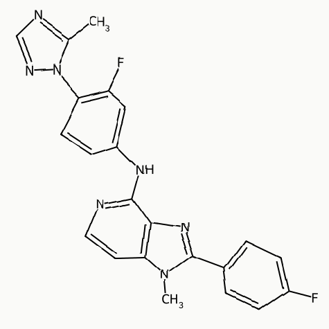 Cc1ncnn1-c1ccc(Nc2nccc3c2nc(-c2ccc(F)cc2)n3C)cc1F